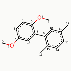 COc1ccc(OC)c(-c2cc(C)ccc2C)c1